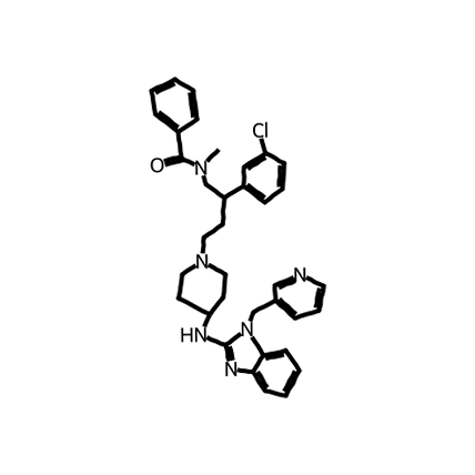 CN(CC(CCN1CCC(Nc2nc3ccccc3n2Cc2cccnc2)CC1)c1cccc(Cl)c1)C(=O)c1ccccc1